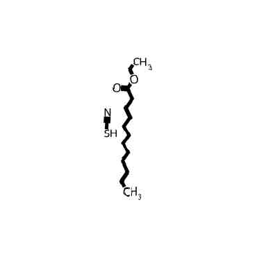 CCCCCCCCCCCC(=O)OCC.N#CS